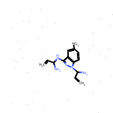 C=CC(N)Nc1nn(C(N)C=C)c2ccc([N+](=O)[O-])cc12